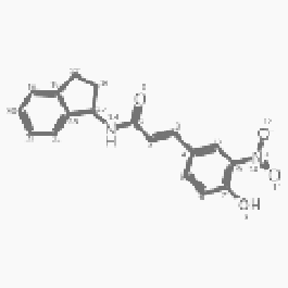 O=C(C=Cc1ccc(O)c([N+](=O)[O-])c1)NC1CCc2ccccc21